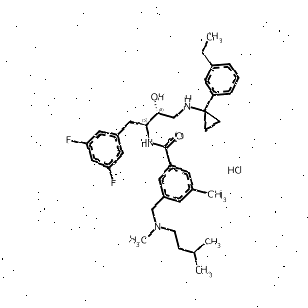 CCc1cccc(C2(NC[C@@H](O)[C@H](Cc3cc(F)cc(F)c3)NC(=O)c3cc(C)cc(CN(C)CCC(C)C)c3)CC2)c1.Cl